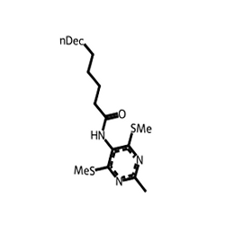 CCCCCCCCCCCCCCC(=O)Nc1c(SC)nc(C)nc1SC